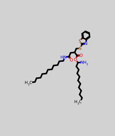 CCCCCCCCCCCCNC(=O)CC(CSc1nc2ccccc2s1)C(=O)OC(N)CCCCCCCCCCC